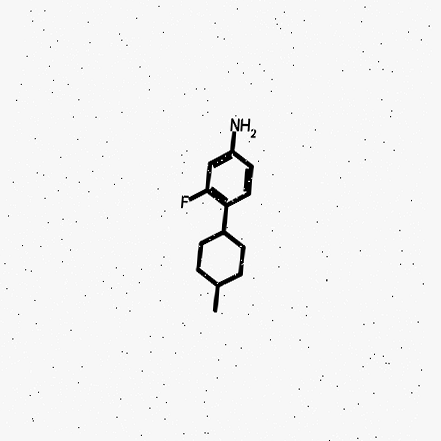 CC1CCC(c2ccc(N)cc2F)CC1